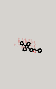 Bc1c(B)c(B)c(-c2c3ccccc3c(-c3ccc4oc(-c5ccccc5)cc4c3)c3c(B)c(B)c(B)c(B)c23)c(B)c1B